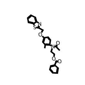 CC(=O)N(CCOC(=O)c1ccccc1)c1ccc(OCc2nc3ccccc3s2)cc1C